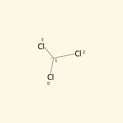 Cl[C](Cl)Cl